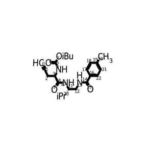 C#CCC(NC(=O)OCC(C)C)C(=O)N[C@H](CNC(=O)c1ccc(C)cc1)C(C)C